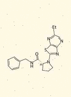 CCc1cnc2nc(N3CCC[C@@H]3C(=O)NCc3ccccc3)sc2n1